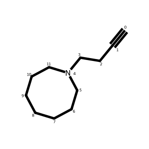 C#CCCN1CCCCCCC1